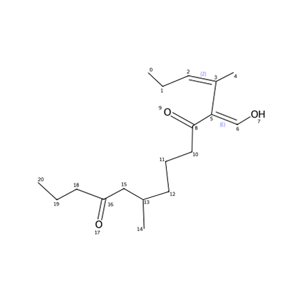 CC/C=C(C)\C(=C/O)C(=O)CCCC(C)CC(=O)CCC